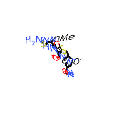 CO/N=C(\C(=O)N[C@@H]1C(=O)N2C(C(=O)[O-])=C(C[n+]3ccc(-c4nnco4)cc3)CS[C@@H]12)c1csc(N)n1